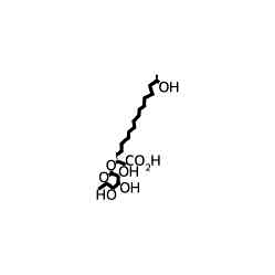 CC1OC(O[C@H](CCCCCCCCCCCCC[C@@H](C)O)CC(=O)O)C(O)C(O)C1O